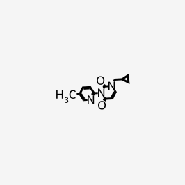 Cc1ccc(-n2c(=O)ccn(CC3CC3)c2=O)nc1